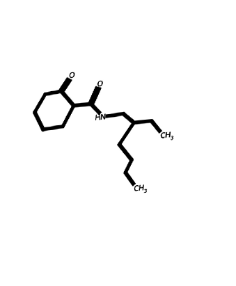 CCCCC(CC)CNC(=O)C1CCCCC1=O